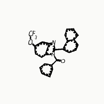 O=C(c1ccccc1)n1c(-c2cccc3ccccc23)nc2cc(OC(F)(F)F)ccc21